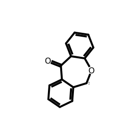 O=C1c2ccccc2[C]Oc2ccccc21